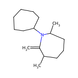 C=C1C(C)CCCC(C)N1C1CCCCCC1